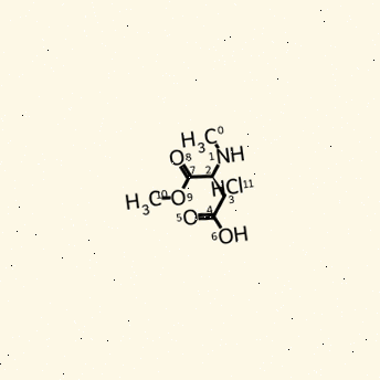 CN[C@@H](CC(=O)O)C(=O)OC.Cl